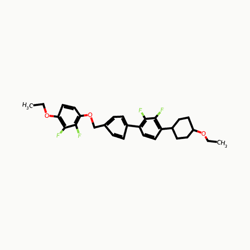 CCOc1ccc(OCc2ccc(-c3ccc(C4CCC(OCC)CC4)c(F)c3F)cc2)c(F)c1F